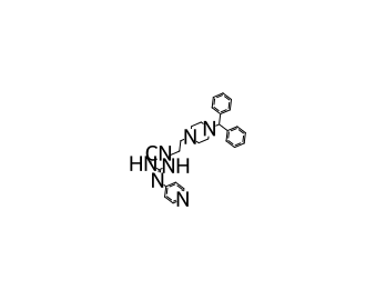 N#CN/C(=N/c1ccncc1)NCCCN1CCN(C(c2ccccc2)c2ccccc2)CC1